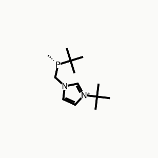 C[P@@](Cn1cc[n+](C(C)(C)C)c1)C(C)(C)C